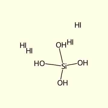 I.I.I.I.O[Si](O)(O)O